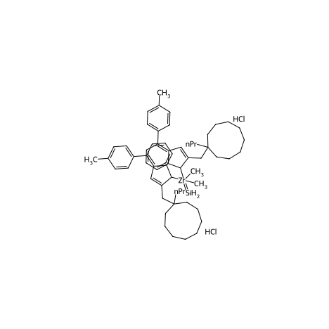 CCCC1(CC2=Cc3c(-c4ccc(C)cc4)cccc3[CH]2[Zr]([CH3])([CH3])(=[SiH2])[CH]2C(CC3(CCC)CCCCCCCC3)=Cc3c(-c4ccc(C)cc4)cccc32)CCCCCCCC1.Cl.Cl